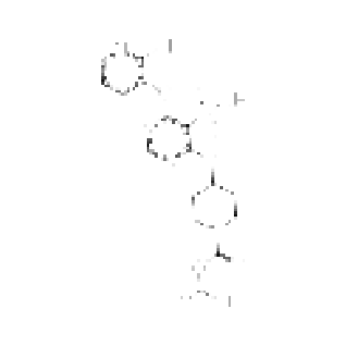 Cc1ncccc1Oc1ncnc(OC2CCN(C(=O)OC(C)C)CC2)c1S(C)(=O)=O